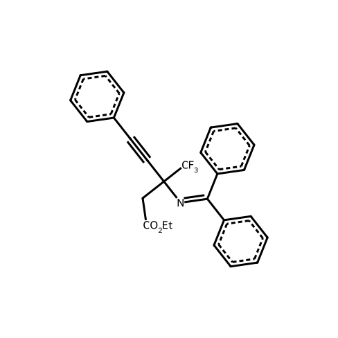 CCOC(=O)CC(C#Cc1ccccc1)(N=C(c1ccccc1)c1ccccc1)C(F)(F)F